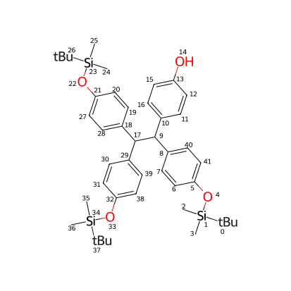 CC(C)(C)[Si](C)(C)Oc1ccc(C(c2ccc(O)cc2)C(c2ccc(O[Si](C)(C)C(C)(C)C)cc2)c2ccc(O[Si](C)(C)C(C)(C)C)cc2)cc1